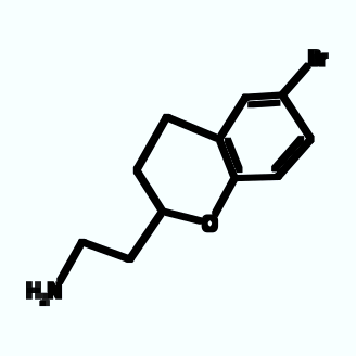 NCCC1CCc2cc(Br)ccc2O1